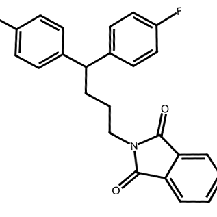 O=C1c2ccccc2C(=O)N1CCCC(c1ccc(F)cc1)c1ccc(F)cc1